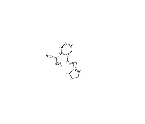 CC(C)c1ccccc1CNC1=NCCC1